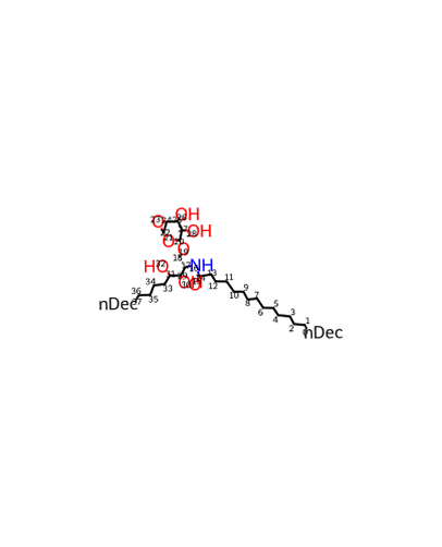 CCCCCCCCCCCCCCCCCCCCCCCC(=O)N[C@@H](COC1OC2OC2C(O)C1O)[C@H](O)[C@H](O)CCCCCCCCCCCCCC